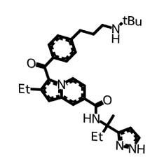 CCc1cc2cc(C(=O)NC(C)(CC)c3cc[nH]n3)ccn2c1C(=O)c1ccc(CCCNC(C)(C)C)cc1